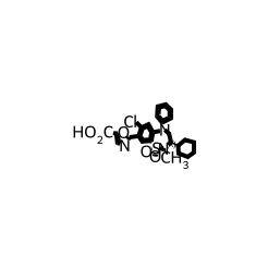 CN1[C@H](C2CCCCC2)CN(c2ccccc2)c2cc(Cl)c(-c3ncc(C(=O)O)o3)cc2S1(=O)=O